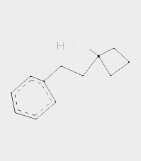 O=C(O)C1(CCc2ccccc2)CCC1